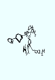 Cc1cc(OCC(C)c2sc(-c3ccc(-c4ccccn4)cc3)nc2C)ccc1CCC(=O)O